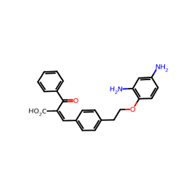 Nc1ccc(OCCc2ccc(C=C(C(=O)O)C(=O)c3ccccc3)cc2)c(N)c1